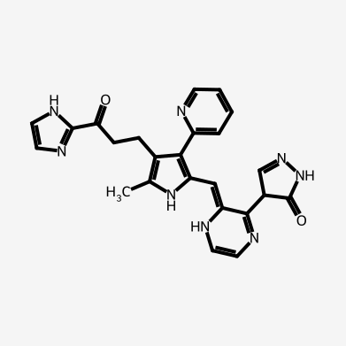 Cc1[nH]c(C=C2NC=CN=C2C2C=NNC2=O)c(-c2ccccn2)c1CCC(=O)c1ncc[nH]1